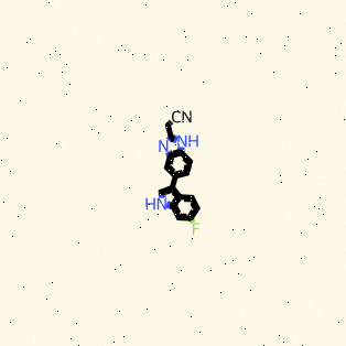 N#CCc1nc2cc(-c3c[nH]c4cc(F)ccc34)ccc2[nH]1